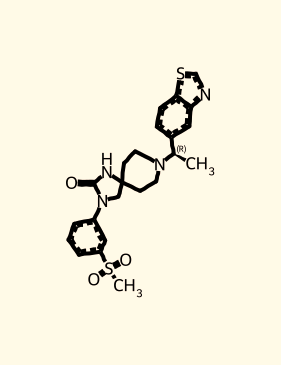 C[C@H](c1ccc2scnc2c1)N1CCC2(CC1)CN(c1cccc(S(C)(=O)=O)c1)C(=O)N2